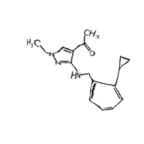 CC(=O)c1cn(C)nc1NCc1ccccc1C1CC1